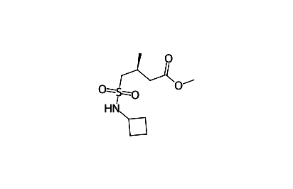 COC(=O)C[C@H](C)CS(=O)(=O)NC1CCC1